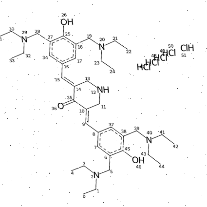 CCN(CC)Cc1cc(C=C2CNCC(=Cc3cc(CN(CC)CC)c(O)c(CN(CC)CC)c3)C2=O)cc(CN(CC)CC)c1O.Cl.Cl.Cl.Cl.Cl